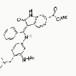 COC(=O)c1ccc2c(c1)NC(=O)C2=C(Nc1ccc(CN(C)C)c(NC(C)=O)c1)c1ccccc1